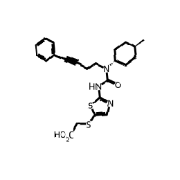 C[C@H]1CC[C@H](N(CCC#Cc2ccccc2)C(=O)Nc2ncc(SCC(=O)O)s2)CC1